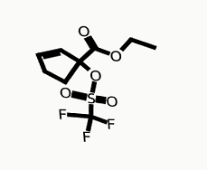 CCOC(=O)C1(OS(=O)(=O)C(F)(F)F)C=CCC1